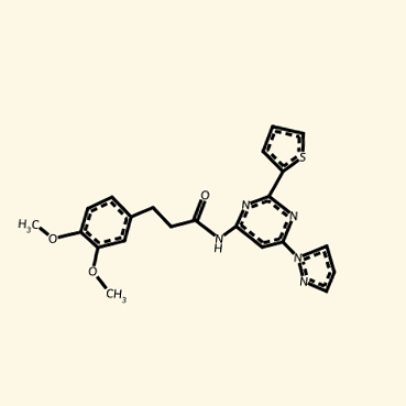 COc1ccc(CCC(=O)Nc2cc(-n3cccn3)nc(-c3cccs3)n2)cc1OC